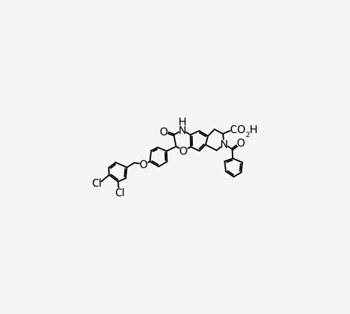 O=C1Nc2cc3c(cc2OC1c1ccc(OCc2ccc(Cl)c(Cl)c2)cc1)CN(C(=O)c1ccccc1)C(C(=O)O)C3